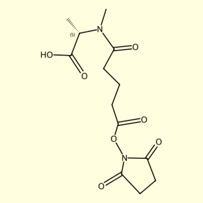 C[C@@H](C(=O)O)N(C)C(=O)CCCC(=O)ON1C(=O)CCC1=O